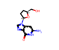 Nc1cc2c(ncn2[C@H]2CC[C@@H](CO)O2)c(=O)[nH]1